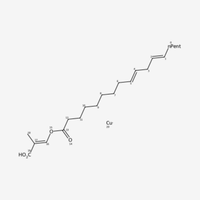 CCCCC/C=C/C/C=C/CCCCCCCC(=O)OC=C(C)C(=O)O.[Cu]